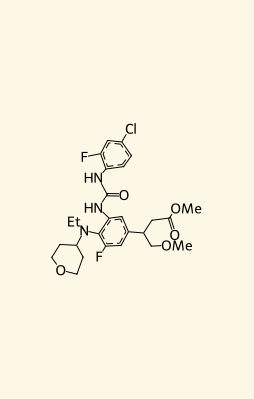 CCN(c1c(F)cc(C(COC)CC(=O)OC)cc1NC(=O)Nc1ccc(Cl)cc1F)C1CCOCC1